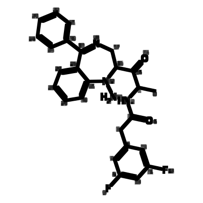 CC(NC(=O)Cc1cc(F)cc(F)c1)C(=O)C1CN=C(c2ccccc2)c2ccccc2N1N